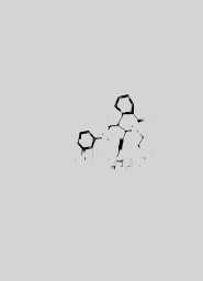 COCCN1C(=O)c2ccccc2C(C(=O)Nc2cccc(OC)c2)C1C#C[Si](C)(C)C